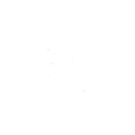 [2H]c1c([2H])c([2H])c(-c2cc(B3OC(C)(C)C(C)(C)O3)cc(-c3c([2H])c([2H])c([2H])c([2H])c3[2H])c2)c([2H])c1[2H]